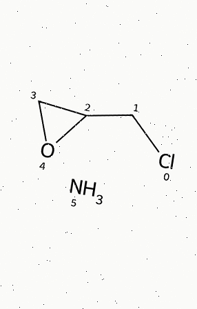 ClCC1CO1.N